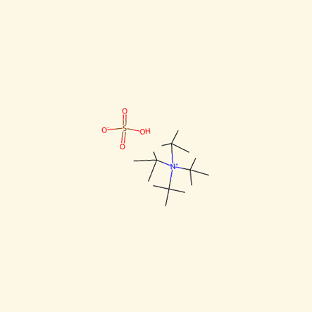 CC(C)(C)[N+](C(C)(C)C)(C(C)(C)C)C(C)(C)C.O=S(=O)([O-])O